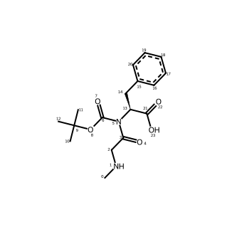 CNCC(=O)N(C(=O)OC(C)(C)C)[C@@H](Cc1ccccc1)C(=O)O